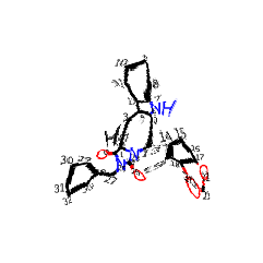 O=C1[C@H]2Cc3c([nH]c4ccccc34)[C@H](c3ccc4c(c3)OCO4)N2C(=O)N1Cc1ccccc1